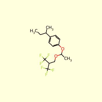 CCC(C)c1ccc(OC(C)OCC(C(F)(F)F)C(F)(F)F)cc1